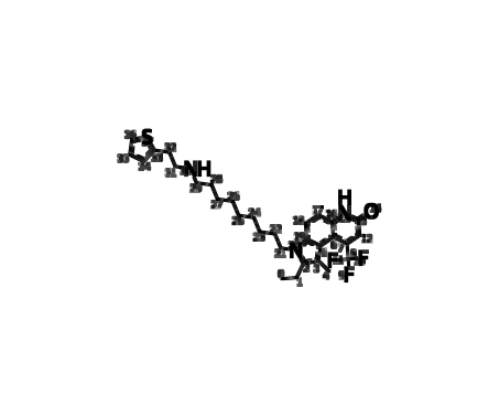 CCc1c(C)c2c3c(C(F)(F)F)cc(=O)[nH]c3ccc2n1CCCCCCCCCNCCc1cccs1